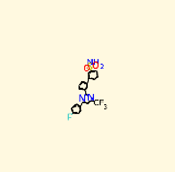 NS(=O)(=O)c1cccc(-c2cccc(-c3nc(-c4ccc(F)cc4)cc(C(F)(F)F)n3)c2)c1